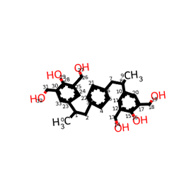 CC(Cc1ccc(CC(C)c2cc(CO)c(O)c(CO)c2)cc1)c1cc(CO)c(O)c(CO)c1